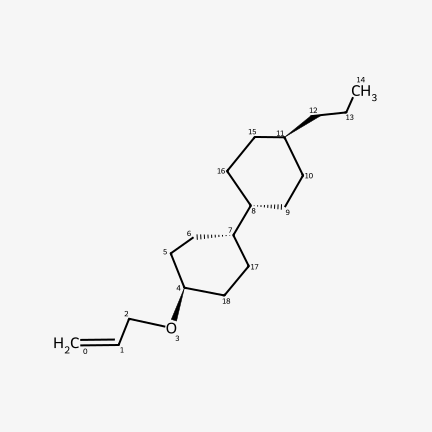 C=CCO[C@H]1CC[C@H]([C@H]2CC[C@H](CCC)CC2)CC1